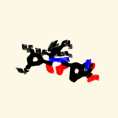 Cc1cc(C)cc(C(=O)N(NC(=O)c2ccc3c(c2)NOB3O)[C@@H](C)C(C)(C)C)c1